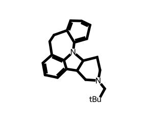 CC(C)(C)CN1CCC2C(C1)c1cccc3c1N2c1ccccc1CC3